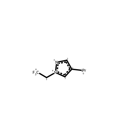 CC(C)c1cnn(CC(F)(F)F)c1